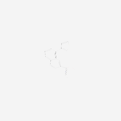 C/C=C(\OC)c1ccc2cccc(-c3ccsc3)c2c1